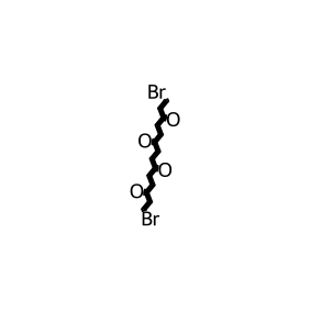 O=C(CCBr)CCC(=O)CCC(=O)CCC(=O)CCBr